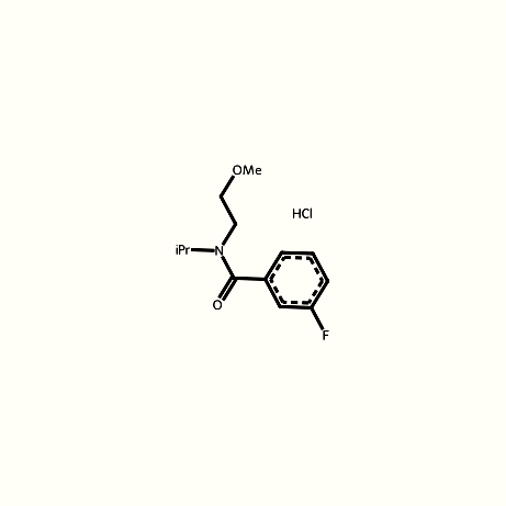 COCCN(C(=O)c1cccc(F)c1)C(C)C.Cl